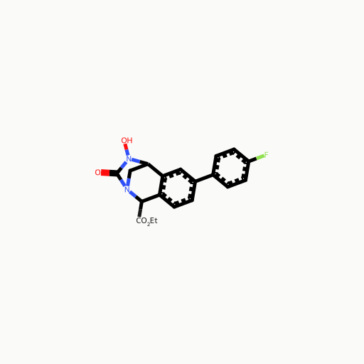 CCOC(=O)C1c2ccc(-c3ccc(F)cc3)cc2C2CN1C(=O)N2O